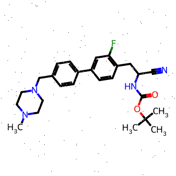 CN1CCN(Cc2ccc(-c3ccc(CC(C#N)NC(=O)OC(C)(C)C)c(F)c3)cc2)CC1